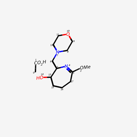 CC(=O)O.COC1=NC(CN2CCOCC2)C(O)CCC1